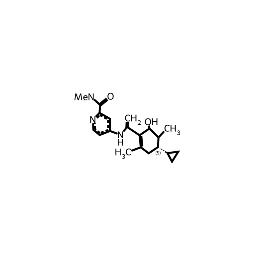 C=C(Nc1ccnc(C(=O)NC)c1)C1=C(C)C[C@@H](C2CC2)C(C)C1O